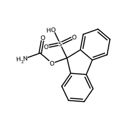 NC(=O)OC1(S(=O)(=O)O)c2ccccc2-c2ccccc21